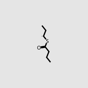 CC[CH]SC(=O)CCC